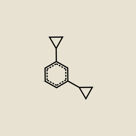 [c]1cc(C2CC2)cc(C2CC2)c1